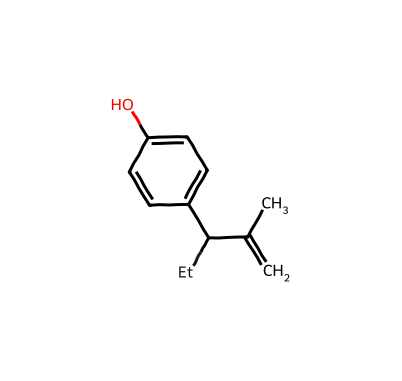 C=C(C)C(CC)c1ccc(O)cc1